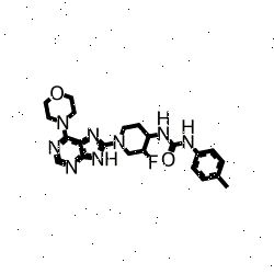 Cc1ccc(NC(=O)NC2CCN(c3nc4c(N5CCOCC5)ncnc4[nH]3)CC2F)cc1